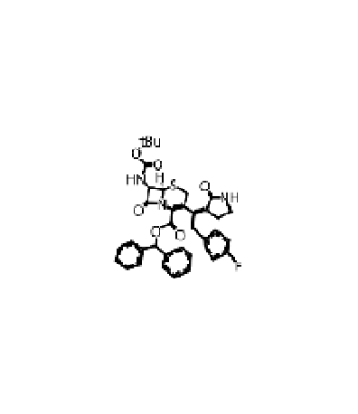 CC(C)(C)OC(=O)N[C@@H]1C(=O)N2C(C(=O)OC(c3ccccc3)c3ccccc3)=C(C(Cc3ccc(F)cc3)=C3CCNC3=O)CS[C@H]12